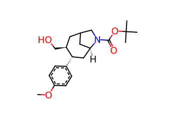 COc1ccc([C@H]2C[C@H]3CC(C[C@@H]2CO)CN3C(=O)OC(C)(C)C)cc1